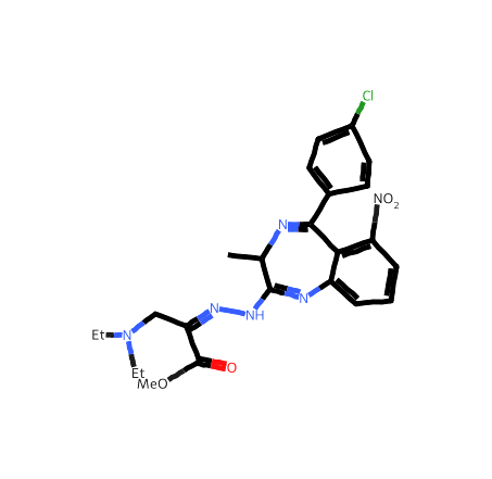 CCN(CC)CC(=NNC1=Nc2cccc([N+](=O)[O-])c2C(c2ccc(Cl)cc2)=NC1C)C(=O)OC